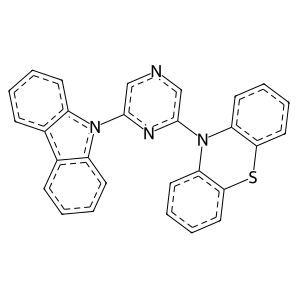 c1ccc2c(c1)Sc1ccccc1N2c1cncc(-n2c3ccccc3c3ccccc32)n1